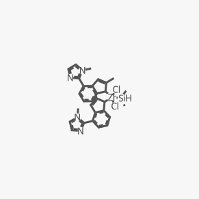 CC1=Cc2c(-c3nccn3C)cccc2[CH]1[Zr]([Cl])([Cl])([CH]1C(C)=Cc2c(-c3nccn3C)cccc21)[SiH](C)C